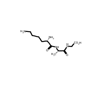 C[C@H](NC(=O)[C@@H](N)CCCCN)C(=O)NCC(=O)O